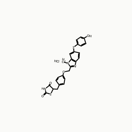 Cl.Cn1c(COc2ccc(CC3SC(=O)NC3=O)cc2)nc2ccc(Sc3ccc(O)cc3)cc21